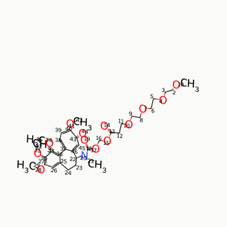 COCCOCCOCCOCCC(=O)OCOC(=O)N(C)[C@H]1CCc2cc(OC)c(OC)c(OC)c2-c2ccc(OC)c(=O)cc21